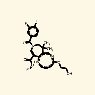 CC(C)OC(=O)C1=CN(C(=O)c2ccc(F)c(F)c2)CC(C)(C)c2cnc(OCCO)ccc[nH]c21